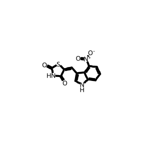 O=C1NC(=O)C(=Cc2c[nH]c3cccc([N+](=O)[O-])c23)S1